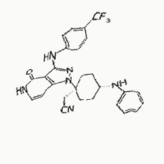 N#CC[C@]1(n2nc(Nc3ccc(C(F)(F)F)cc3)c3c(=O)[nH]ccc32)CC[C@H](Nc2ccccc2)CC1